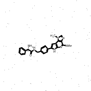 CNc1nc2[nH]c(-c3ccc(CNC(=O)[C@@H](N)c4ccccc4)cc3)cc2c2c1ncn2C